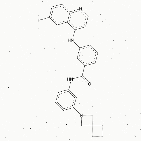 O=C(Nc1cccc(N2CC3(CCC3)C2)c1)c1cccc(Nc2ccnc3ccc(F)cc23)c1